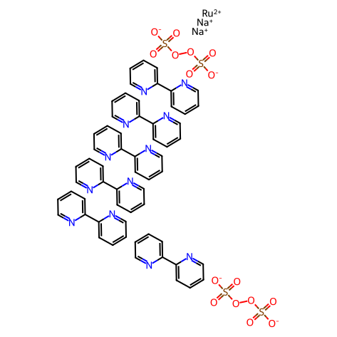 O=S(=O)([O-])OOS(=O)(=O)[O-].O=S(=O)([O-])OOS(=O)(=O)[O-].[Na+].[Na+].[Ru+2].c1ccc(-c2ccccn2)nc1.c1ccc(-c2ccccn2)nc1.c1ccc(-c2ccccn2)nc1.c1ccc(-c2ccccn2)nc1.c1ccc(-c2ccccn2)nc1.c1ccc(-c2ccccn2)nc1